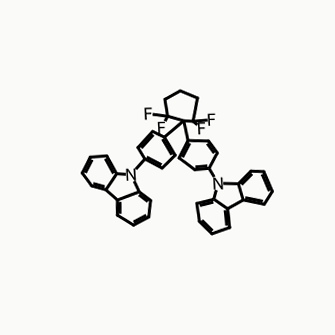 FC1(F)CCCC(F)(F)C1(c1ccc(-n2c3ccccc3c3ccccc32)cc1)c1ccc(-n2c3ccccc3c3ccccc32)cc1